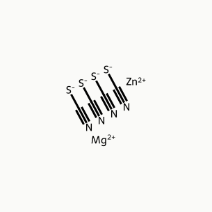 N#C[S-].N#C[S-].N#C[S-].N#C[S-].[Mg+2].[Zn+2]